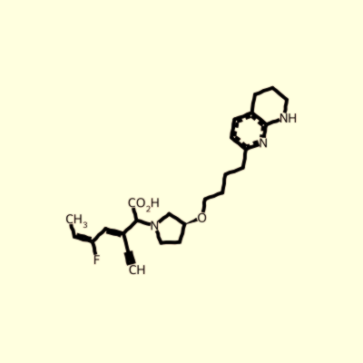 C#C/C(=C\C(F)=C/C)C(C(=O)O)N1CC[C@H](OCCCCc2ccc3c(n2)NCCC3)C1